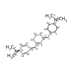 CN(C)c1ccc(/C=C2/C=C(C=C3C=CC(=[N+](C)C)C=C3)CCC2)cc1